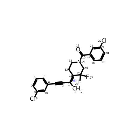 C/C(C#Cc1cccc(Cl)c1)=C1/CCN(C(=O)c2cccc(Cl)c2)CC1(F)F